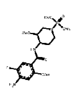 COc1cc(N)c(Cl)cc1C(=O)NC1CCN(P(=O)(OC)OC)CC1OC